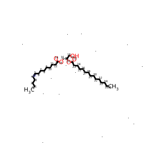 CCCC/C=C\CCCCCCCC(=O)OC[C@H](CO)OC(=O)CCCCCCCCCCCCCC